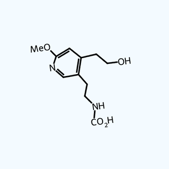 COc1cc(CCO)c(CCNC(=O)O)cn1